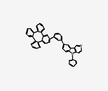 c1ccc(-n2c3ccncc3c3cc(-c4cccc(-c5ccc6c(c5)-c5ccccc5-c5ccccc5-c5ccccc5-6)c4)ccc32)cc1